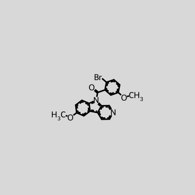 COc1ccc(Br)c(C(=O)n2c3ccc(OC)cc3c3ccncc32)c1